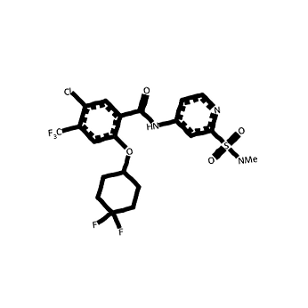 CNS(=O)(=O)c1cc(NC(=O)c2cc(Cl)c(C(F)(F)F)cc2OC2CCC(F)(F)CC2)ccn1